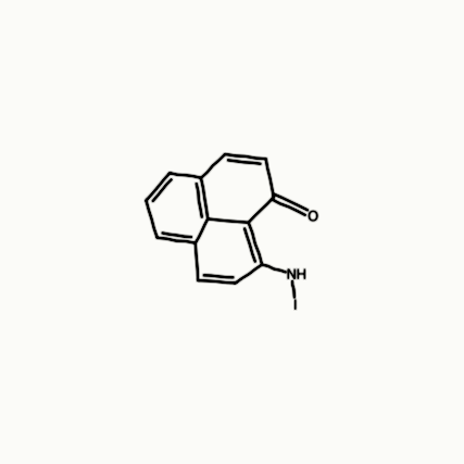 O=C1C=Cc2cccc3ccc(NI)c1c23